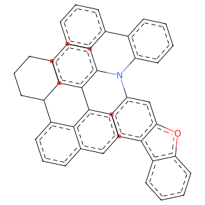 c1ccc(-c2ccccc2N(c2ccc3c(c2)oc2ccccc23)c2ccccc2-c2cccc3cccc(C4CCCCC4)c23)cc1